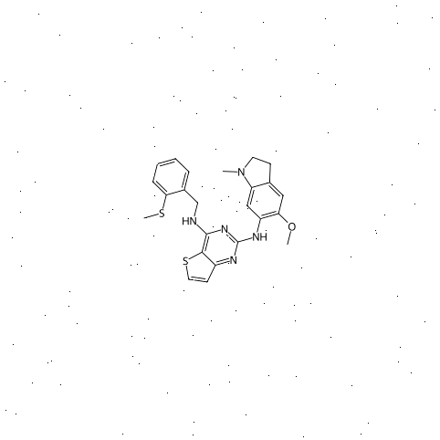 COc1cc2c(cc1Nc1nc(NCc3ccccc3SC)c3sccc3n1)N(C)CC2